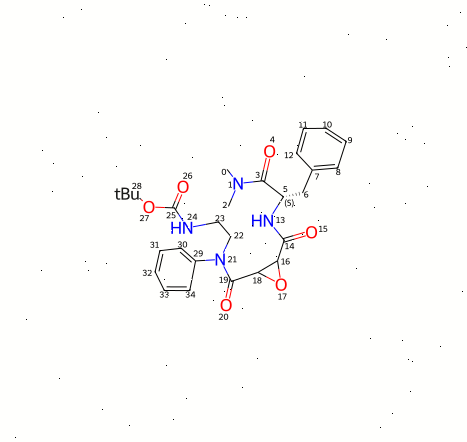 CN(C)C(=O)[C@H](Cc1ccccc1)NC(=O)C1OC1C(=O)N(CCNC(=O)OC(C)(C)C)c1ccccc1